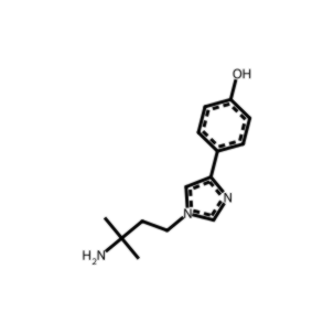 CC(C)(N)CCn1cnc(-c2ccc(O)cc2)c1